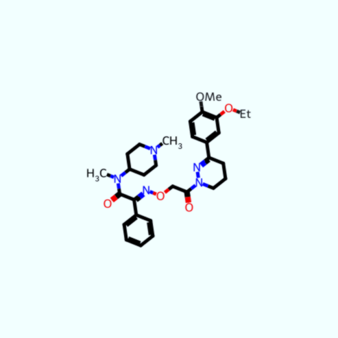 CCOc1cc(C2=NN(C(=O)CON=C(C(=O)N(C)C3CCN(C)CC3)c3ccccc3)CCC2)ccc1OC